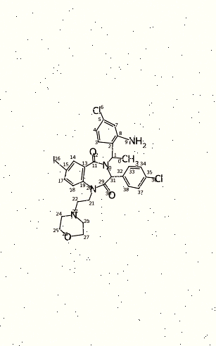 CC(c1ccc(Cl)cc1N)N1C(=O)c2cc(I)ccc2N(CCN2CCOCC2)C(=O)C1c1ccc(Cl)cc1